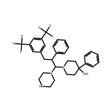 OC1(c2ccccc2)CCN(C(C(Cc2cc(C(F)(F)F)cc(C(F)(F)F)c2)c2ccccc2)N2CCNCC2)CC1